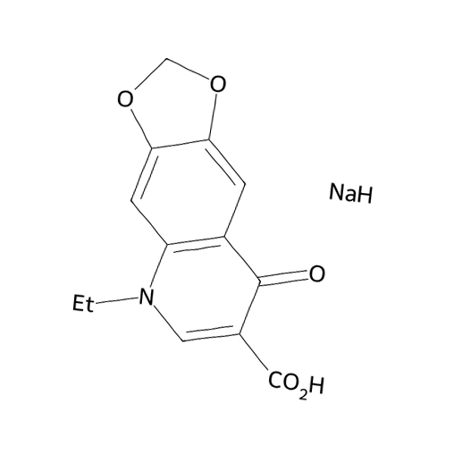 CCn1cc(C(=O)O)c(=O)c2cc3c(cc21)OCO3.[NaH]